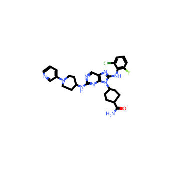 NC(=O)C1CCC(n2c(Nc3c(F)cccc3Cl)nc3cnc(NC4CCN(c5cccnc5)CC4)nc32)CC1